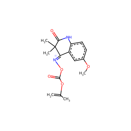 C=C(C)OC(=O)O/N=C1\c2cc(OC)ccc2NC(=O)C1(C)C